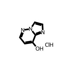 Cl.Oc1ccnn2ccnc12